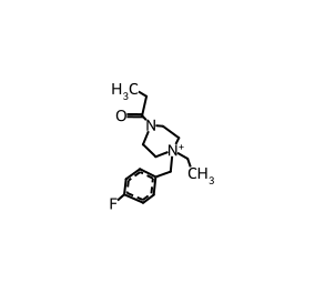 CCC(=O)N1CC[N+](CC)(Cc2ccc(F)cc2)CC1